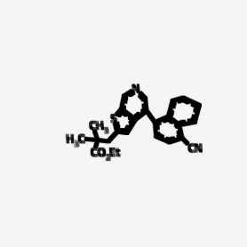 CCOC(=O)C(C)(C)Cc1cc2c(-c3ccc(C#N)c4ccccc34)cncc2s1